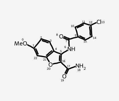 COc1ccc2c(NC(=O)c3ccc(Cl)cc3)c(C(N)=O)oc2c1